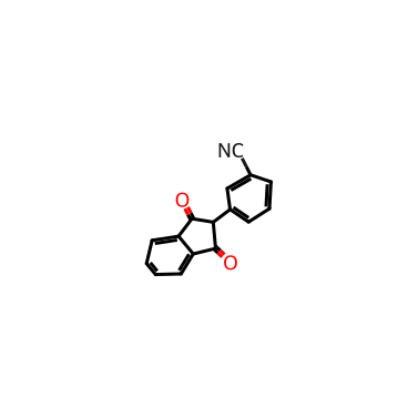 N#Cc1cccc(C2C(=O)c3ccccc3C2=O)c1